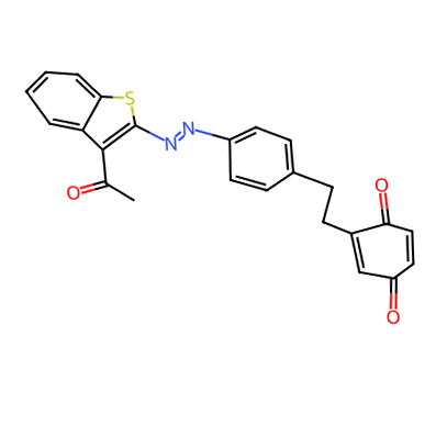 CC(=O)c1c(/N=N/c2ccc(CCC3=CC(=O)C=CC3=O)cc2)sc2ccccc12